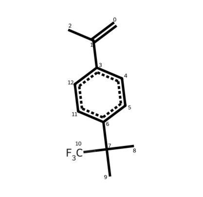 C=C(C)c1ccc(C(C)(C)C(F)(F)F)cc1